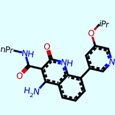 CCCNC(=O)c1c(N)c2cccc(-c3cncc(OC(C)C)c3)c2[nH]c1=O